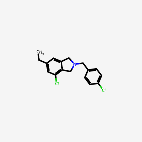 CCc1cc(Cl)c2c(c1)CN(Cc1ccc(Cl)cc1)C2